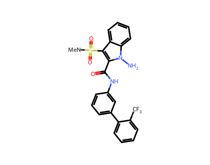 CNS(=O)(=O)c1c(C(=O)Nc2cccc(-c3ccccc3C(F)(F)F)c2)n(N)c2ccccc12